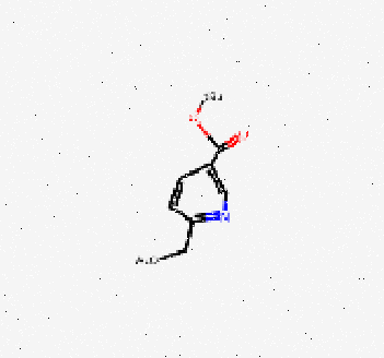 CC(=O)OCc1ccc(C(=O)OC(C)(C)C)cn1